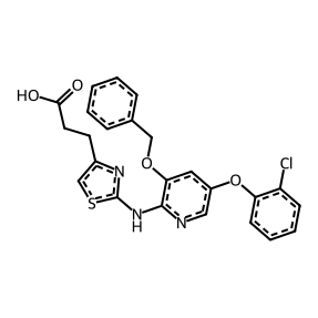 O=C(O)CCc1csc(Nc2ncc(Oc3ccccc3Cl)cc2OCc2ccccc2)n1